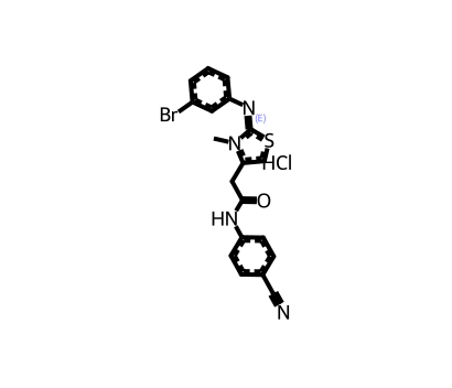 Cl.Cn1c(CC(=O)Nc2ccc(C#N)cc2)cs/c1=N/c1cccc(Br)c1